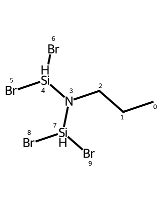 CCCN([SiH](Br)Br)[SiH](Br)Br